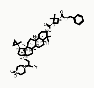 CC(C)C(CN[C@]12CC[C@@H](C3(C)CC3)[C@@H]1[C@H]1CC[C@@H]3[C@@]4(C)CC[C@H](OC(=O)[C@H]5C[C@@H](C(=O)OCc6ccccc6)C5(C)C)C(C)(C)[C@@H]4CC[C@@]3(C)[C@]1(C)CC2)N1CCS(=O)(=O)CC1